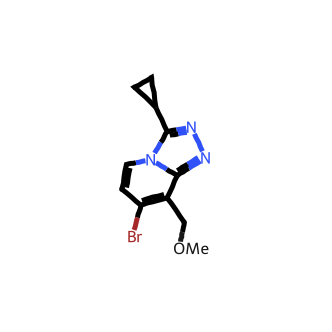 COCc1c(Br)ccn2c(C3CC3)nnc12